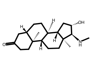 CN[C@@H]1[C@@H](O)C[C@H]2[C@@H]3CC[C@H]4CC(=O)CC[C@]4(C)[C@H]3CC[C@]12C